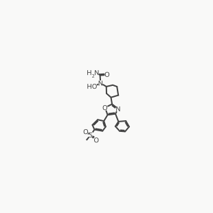 CS(=O)(=O)c1ccc(-c2oc(C3CCCC(N(O)C(N)=O)C3)nc2-c2ccccc2)cc1